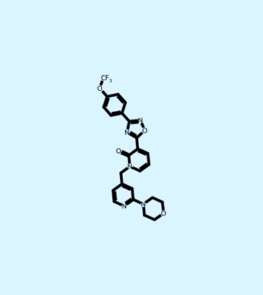 O=c1c(-c2nc(-c3ccc(OC(F)(F)F)cc3)no2)cccn1Cc1ccnc(N2CCOCC2)c1